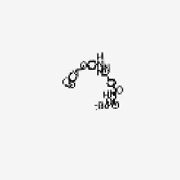 CC(C)(C)OC(=O)CNC(=O)c1ccc(-c2cnc(Nc3ccc(OCCN4CCC5(CC4)OCCO5)cc3)nc2)cc1